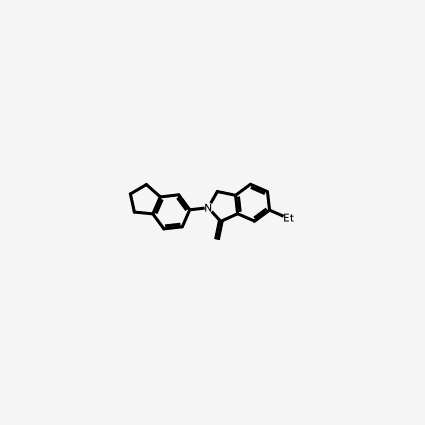 C=C1c2cc(CC)ccc2CN1c1ccc2c(c1)CCC2